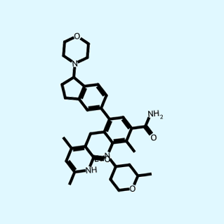 CCN(c1c(C)c(C(N)=O)cc(-c2ccc3c(c2)CCC3N2CCOCC2)c1Cc1c(C)cc(C)[nH]c1=O)C1CCOC(C)C1